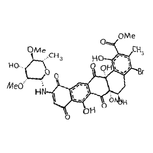 COC(=O)c1c(C)c(Br)c2c(c1O)[C@]1(O)C(=O)c3cc4c(c(O)c3C(=O)[C@]1(OC)[C@H](O)C2)C(=O)C=C(N[C@H]1O[C@@H](C)[C@H](OC)[C@@H](O)[C@H]1OC)C4=O